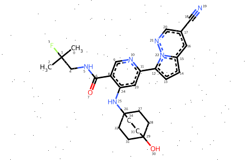 CC(C)(F)CNC(=O)c1cnc(-c2ccc3cc(C#N)cnn23)cc1NC12CCC(O)(CC1)CC2